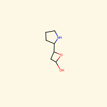 OC1CC(C2CCCN2)O1